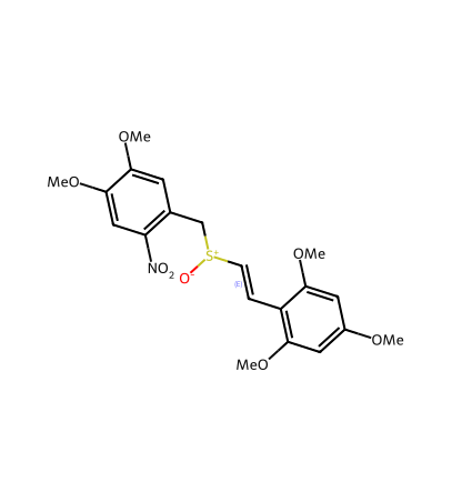 COc1cc(OC)c(/C=C/[S+]([O-])Cc2cc(OC)c(OC)cc2[N+](=O)[O-])c(OC)c1